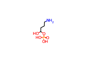 NCCCC(O)OP(=O)(O)O